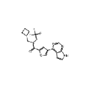 O=C(c1cc(-c2ncnc3[nH]ccc23)co1)N(CC1CCC1)CC(F)(F)F